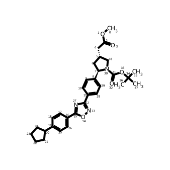 COC(=O)C[C@H]1C[C@H](c2ccc(-c3noc(-c4ccc(C5CCCC5)cc4)n3)cc2)N(C(=O)OC(C)(C)C)C1